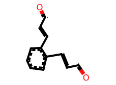 O=[C]C=Cc1ccccc1C=C[C]=O